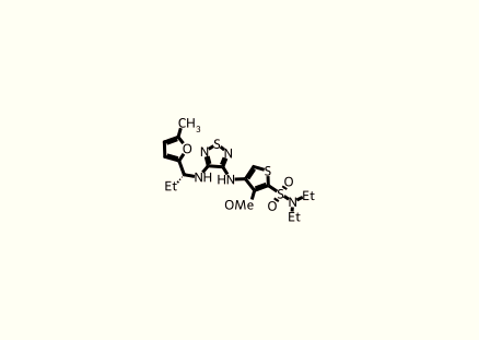 CC[C@@H](Nc1nsnc1Nc1csc(S(=O)(=O)N(CC)CC)c1OC)c1ccc(C)o1